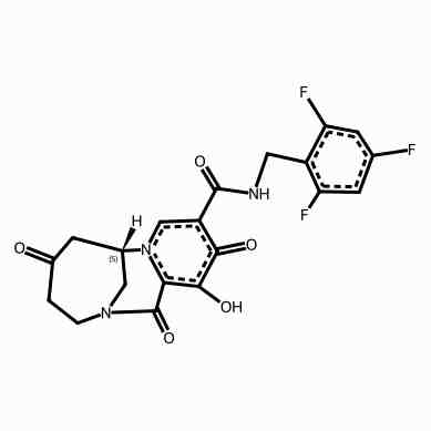 O=C1CCN2C[C@H](C1)n1cc(C(=O)NCc3c(F)cc(F)cc3F)c(=O)c(O)c1C2=O